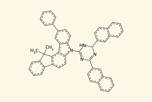 CC1(C)c2ccccc2-c2ccc3c(c21)c1cc(-c2ccccc2)ccc1n3C1=NC(c2ccc3ccccc3c2)=NC(c2ccc3ccccc3c2)N1